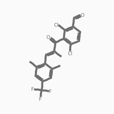 C/C(=C\c1c(C)cc(C(F)(F)F)cc1C)C(=O)c1c(Cl)ccc(C=O)c1Cl